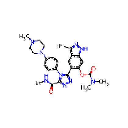 CCNC(=O)c1nnc(-c2cc3c(C(C)C)n[nH]c3cc2OC(=O)N(C)C)n1-c1ccc(N2CCN(C)CC2)cc1